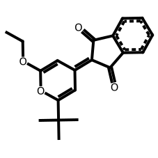 CCOC1=CC(=C2C(=O)c3ccccc3C2=O)C=C(C(C)(C)C)O1